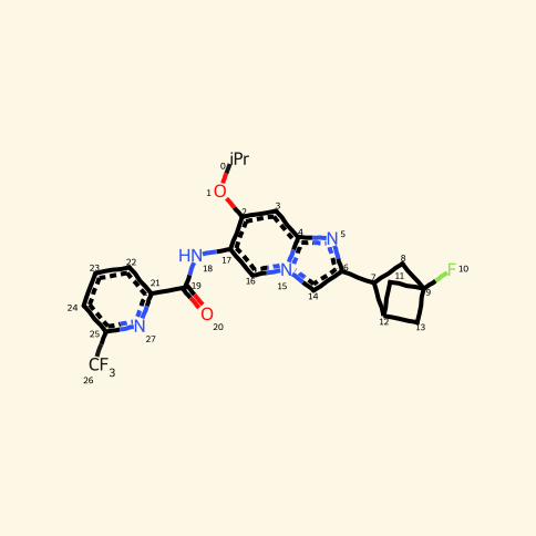 CC(C)Oc1cc2nc(C3CC4(F)CC3C4)cn2cc1NC(=O)c1cccc(C(F)(F)F)n1